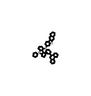 c1ccc(-n2c3ccccc3c3c(N(c4ccc(-c5cc6ccccc6c6ccccc56)cc4)c4ccc5c(c4)oc4cc6ccccc6cc45)cccc32)cc1